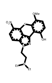 CCN(CC)CCn1nc2c3c(c([N+](=O)[O-])ccc31)Sc1c(OC)ccc(O)c1-2